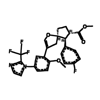 COC(=O)[C@H]1CC[C@@]2(CC(c3cc(-n4ccnc4C(F)(F)F)ccc3OC)=CO2)[C@@H]1c1ccc(F)cc1